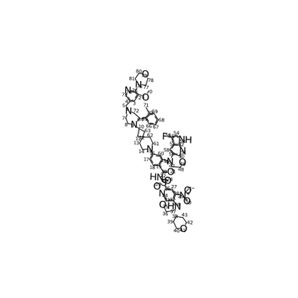 COc1cc(CN2CCN(C3CC4(CCN(c5ccc(C(=O)NS(=O)(=O)c6cc([N+](=O)[O-])c7c(n6)OC[C@@H](C6CCOCC6)N7)c(N6CCOc7nc8[nH]cc(F)c8cc76)c5)CC4)C3)[C@H](c3ccccc3C)C2)cnc1N1CCOCC1